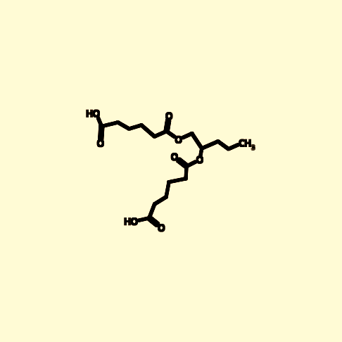 CCCC(COC(=O)CCCCC(=O)O)OC(=O)CCCCC(=O)O